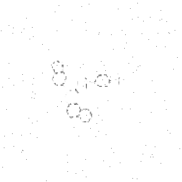 CC(C)(C)c1ccc(S(=O)(=O)NC(=O)C(Cc2ccc3ccccc3c2)c2ccc3nsnc3c2)cc1